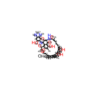 CC(=O)O[C@H]1[C@H](C)[C@H](O)[C@H](C)[C@@H](O)[C@@H](C)/C=C/C=C(/C)C(=O)Nc2c3oc4c5c(cc(O)c4nc-3c3c4c(c(C)c(O)c3c2=O)O[C@](C)(O/C=C/[C@H](C=O)[C@H]1C)C4=O)N(C)CCN5C